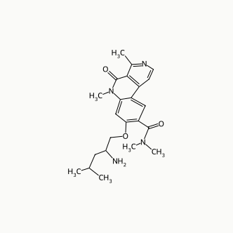 Cc1nccc2c1c(=O)n(C)c1cc(OCC(N)CC(C)C)c(C(=O)N(C)C)cc21